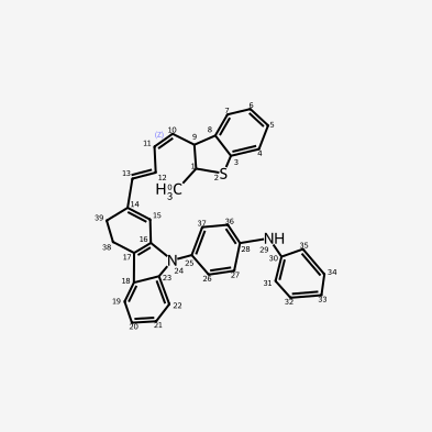 CC1Sc2ccccc2C1/C=C\C=CC1=Cc2c(c3ccccc3n2-c2ccc(Nc3ccccc3)cc2)CC1